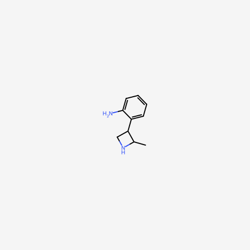 CC1NCC1c1ccccc1N